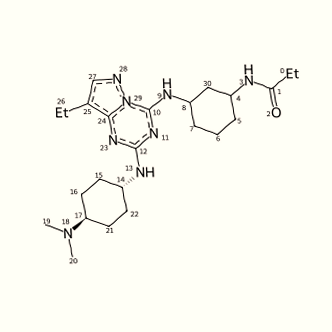 CCC(=O)NC1CCCC(Nc2nc(N[C@H]3CC[C@H](N(C)C)CC3)nc3c(CC)cnn23)C1